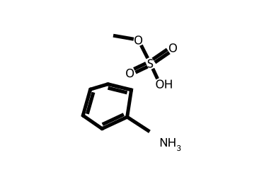 COS(=O)(=O)O.Cc1ccccc1.N